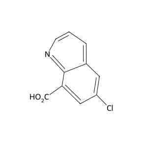 O=C(O)c1cc(Cl)cc2cccnc12